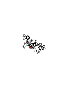 C=C1[C@H](COP(=O)(NC(C)C(=O)OC(C)C)Oc2cccc3c2OCO3)[C@@H](O)C[C@@H]1n1cnc2c(=O)[nH]c(N)nc21